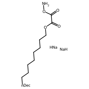 CCCCCCCCCCCCCCCCCCOC(=O)C(=O)ON.[NaH].[NaH]